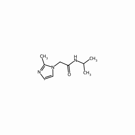 Cc1n[c]cn1CC(=O)NC(C)C